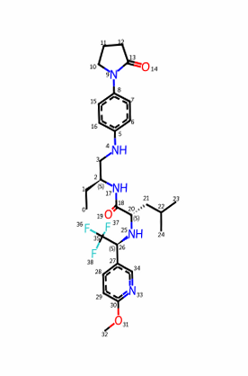 CC[C@@H](CNc1ccc(N2CCCC2=O)cc1)NC(=O)[C@H](CC(C)C)N[C@@H](c1ccc(OC)nc1)C(F)(F)F